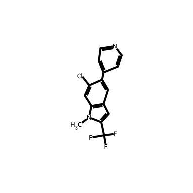 Cn1c(C(F)(F)F)cc2cc(-c3ccncc3)c(Cl)cc21